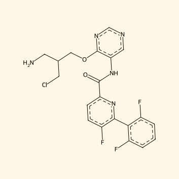 NCC(CCl)COc1ncncc1NC(=O)c1ccc(F)c(-c2c(F)cccc2F)n1